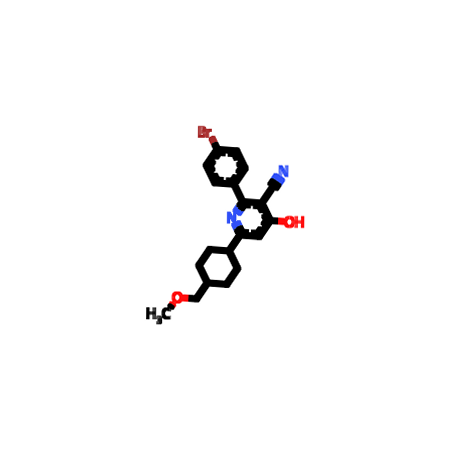 COCC1CCC(c2cc(O)c(C#N)c(-c3ccc(Br)cc3)n2)CC1